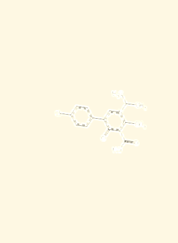 Cc1c(C(=O)O)c(=O)c(-c2ccc(Cl)cc2)cn1C(C)C